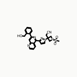 CS(=O)(=O)N1CC(CC#N)(n2ccc(-c3nc(-c4ccccc4CO)cc4ncccc34)n2)C1